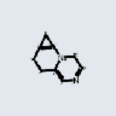 C1=NC=C2CCC3=C(C3)N2C1